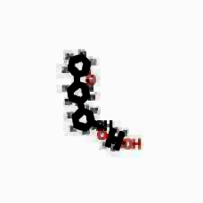 CC(C)(O)C(C)(C)OBc1cccc(-c2ccc3c(c2)oc2ccccc23)c1